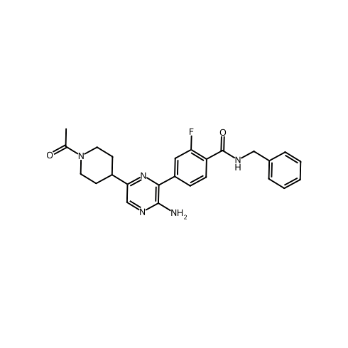 CC(=O)N1CCC(c2cnc(N)c(-c3ccc(C(=O)NCc4ccccc4)c(F)c3)n2)CC1